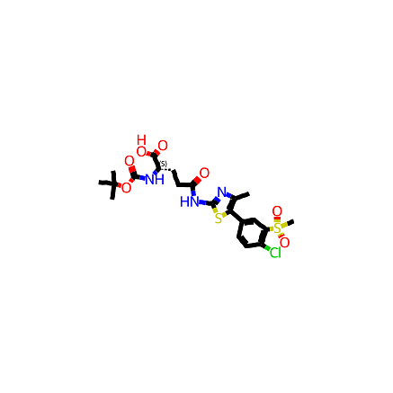 Cc1nc(NC(=O)CC[C@H](NC(=O)OC(C)(C)C)C(=O)O)sc1-c1ccc(Cl)c(S(C)(=O)=O)c1